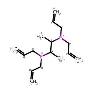 C=CCP(CC=C)C(C)C(C)P(CC=C)CC=C